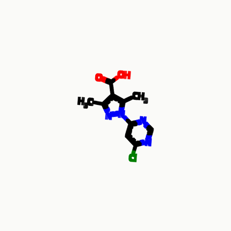 Cc1nn(-c2cc(Cl)ncn2)c(C)c1C(=O)O